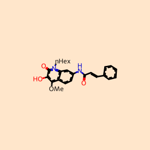 CCCCCCn1c(=O)c(O)c(OC)c2ccc(NC(=O)C=Cc3ccccc3)cc21